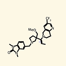 C/C=C(\N1CCc2ncc(C(F)(F)F)cc2C1)C1(COC)CCN(Cc2ccc3c(c2)n(C)c(=O)n3C)C1